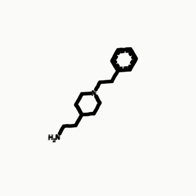 NCCC1CCN(CCc2ccccc2)CC1